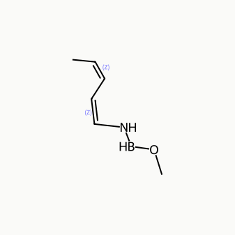 C/C=C\C=C/NBOC